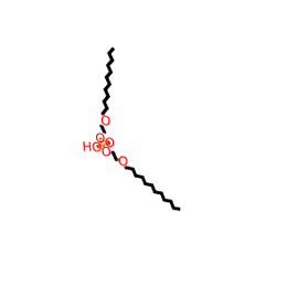 CCCCCCCCCCCCOCCOP(=O)(O)OCCOCCCCCCCCCCCC